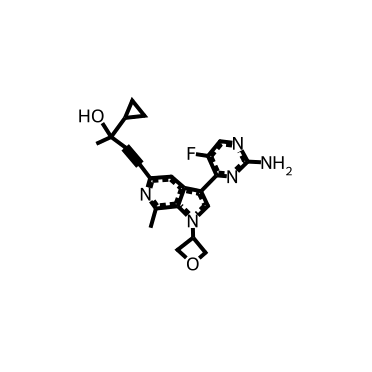 Cc1nc(C#CC(C)(O)C2CC2)cc2c(-c3nc(N)ncc3F)cn(C3COC3)c12